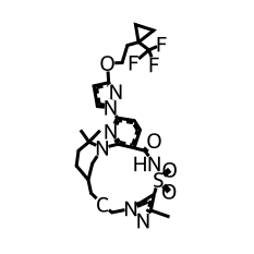 Cc1nn2cc1S(=O)(=O)NC(=O)c1ccc(-n3ccc(OCCC4(C(F)(F)F)CC4)n3)nc1N1CC(CCC2)CCC1(C)C